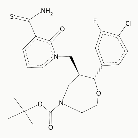 CC(C)(C)OC(=O)N1CCO[C@@H](c2ccc(Cl)c(F)c2)[C@H](Cn2cccc(C(N)=S)c2=O)C1